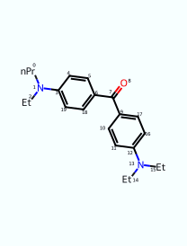 CCCN(CC)c1ccc(C(=O)c2ccc(N(CC)CC)cc2)cc1